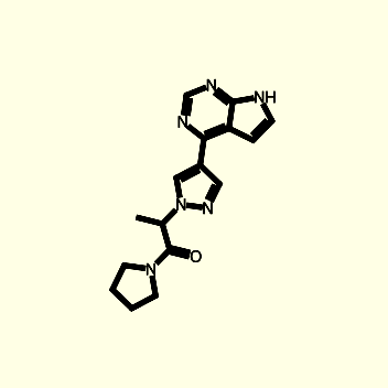 CC(C(=O)N1CCCC1)n1cc(-c2ncnc3[nH]ccc23)cn1